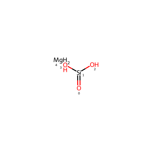 O=[Si](O)O.[MgH2]